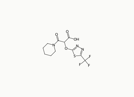 O=C(O)C(Oc1nnc(C(F)(F)F)s1)C(=O)N1CCCCC1